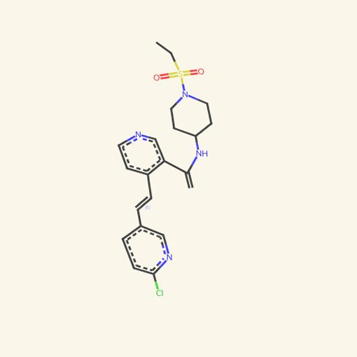 C=C(NC1CCN(S(=O)(=O)CC)CC1)c1cnccc1/C=C/c1ccc(Cl)nc1